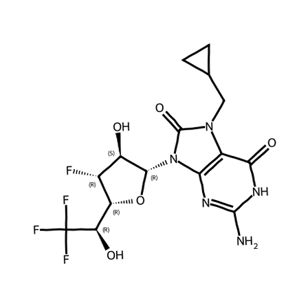 Nc1nc2c(c(=O)[nH]1)n(CC1CC1)c(=O)n2[C@@H]1O[C@H]([C@@H](O)C(F)(F)F)[C@H](F)[C@H]1O